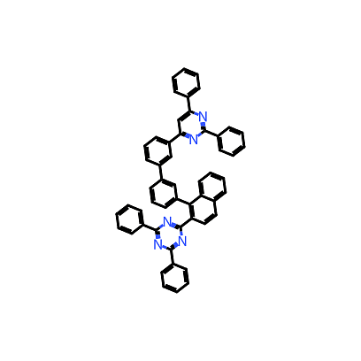 c1ccc(-c2cc(-c3cccc(-c4cccc(-c5c(-c6nc(-c7ccccc7)nc(-c7ccccc7)n6)ccc6ccccc56)c4)c3)nc(-c3ccccc3)n2)cc1